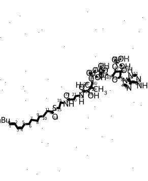 CCCC/C=C/C=C\CCCCCCCC(=O)SCCNC(=O)CCNC(=O)C(O)C(C)(C)COP(=O)(O)OP(=O)(O)OC[C@H]1O[C@@H](n2cnc3c(N)ncnc32)[C@H](O)[C@@H]1OP(=O)(O)O